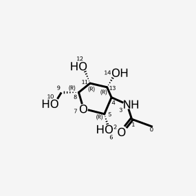 CC(=O)NC1[C@H](O)O[C@H](CO)[C@H](O)[C@@H]1O